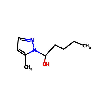 CCCCC(O)n1nccc1C